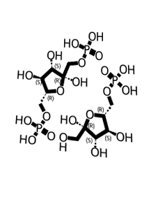 O=P(O)(O)OC[C@H]1O[C@](O)(CO)[C@@H](O)[C@@H]1O.O=P(O)(O)OC[C@H]1O[C@](O)(COP(=O)(O)O)[C@@H](O)[C@@H]1O